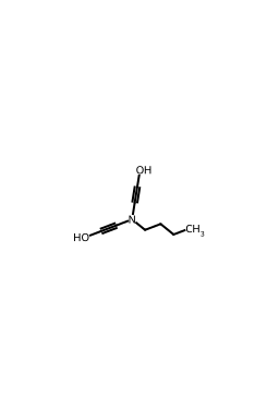 CCCCN(C#CO)C#CO